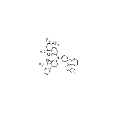 CC1(C)CCC(C)(C)c2cc(N(c3ccc4c(c3)C(C)(C)c3ccccc3-4)c3ccc4c(c3)C3(c5ccccc5-4)C4CC5CC(C4)C3C5)ccc21